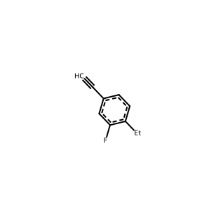 C#Cc1ccc(CC)c(F)c1